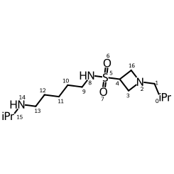 CC(C)CN1CC(S(=O)(=O)NCCCCCNC(C)C)C1